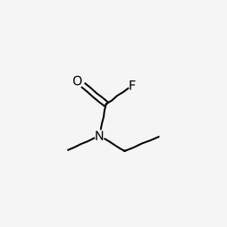 CCN(C)C(=O)F